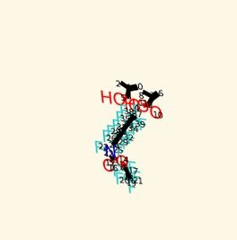 C=C(C)C(=O)O.C=C(C)C(=O)O.O=C(OC(F)(F)C(F)(F)F)N(F)C(F)(F)C(F)(F)C(F)(F)C(F)(F)C(F)(F)F